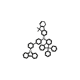 CC1(C)C2=C(CCC=C2)c2ccc(N(c3ccc(-c4cccc(-n5c6ccccc6c6ccccc65)c4)cc3)c3cccc4c3-c3ccccc3C4(c3ccccc3)c3ccccc3)cc21